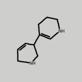 C1=CC(C2=CNCCC2)CNC1